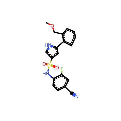 COCc1ccccc1-c1cc(S(=O)(=O)Nc2ccc(C#N)cc2F)c[nH]1